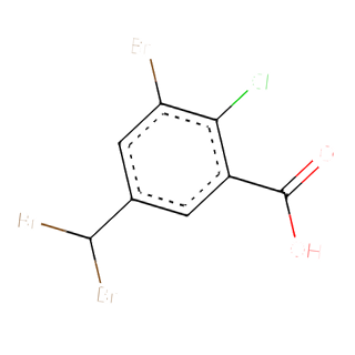 O=C(O)c1cc(C(Br)Br)cc(Br)c1Cl